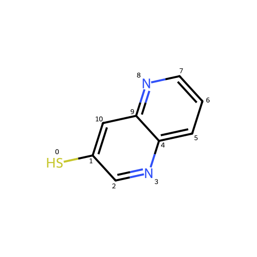 Sc1cnc2cccnc2c1